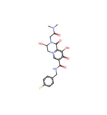 CN(C)C(=O)CN1C(=O)c2c(O)c(=O)c(C(=O)NCc3ccc(F)cc3)cn2CC1O